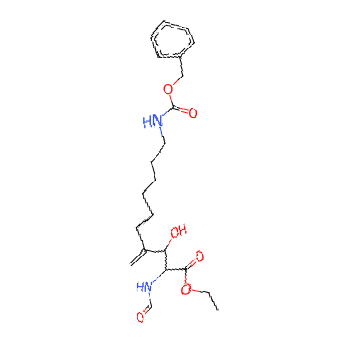 C=C(CCCCCCNC(=O)OCc1ccccc1)C(O)C(NC=O)C(=O)OCC